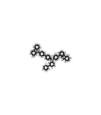 c1ccc(-c2cccc(N(c3ccc(-c4ccc(-n5c6ccccc6c6ccccc65)cc4)cc3)c3ccc(-c4cccc5c4sc4ccccc45)cc3)c2)cc1